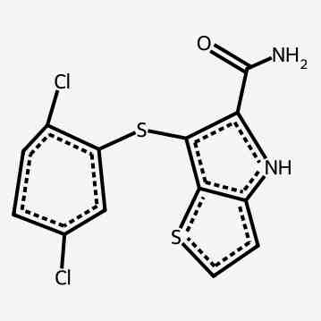 NC(=O)c1[nH]c2ccsc2c1Sc1cc(Cl)ccc1Cl